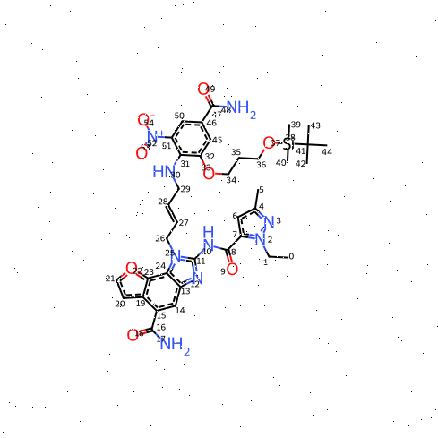 CCn1nc(C)cc1C(=O)Nc1nc2cc(C(N)=O)c3ccoc3c2n1C/C=C/CNc1c(OCCCO[Si](C)(C)C(C)(C)C)cc(C(N)=O)cc1[N+](=O)[O-]